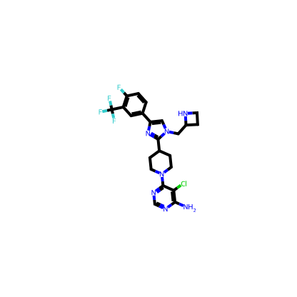 Nc1ncnc(N2CCC(c3nc(-c4ccc(F)c(C(F)(F)F)c4)cn3CC3CCN3)CC2)c1Cl